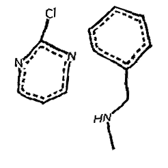 CNCc1ccccc1.Clc1ncccn1